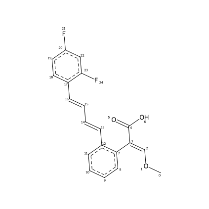 CO/C=C(/C(=O)O)c1ccccc1/C=C/C=C/c1ccc(F)cc1F